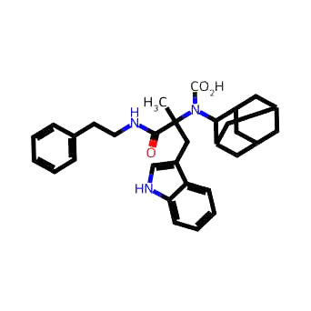 CC(Cc1c[nH]c2ccccc12)(C(=O)NCCc1ccccc1)N(C(=O)O)C1C2CC3CC(C2)CC1C3